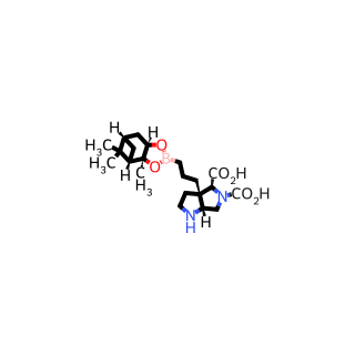 CC1(C)[C@@H]2C[C@H]3OB(CCC[C@]45CCN[C@H]4CN(C(=O)O)[C@@H]5C(=O)O)O[C@@]3(C)[C@H]1C2